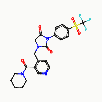 O=C(c1cnccc1CN1CC(=O)N(c2ccc(S(=O)(=O)C(F)(F)F)cc2)C1=O)N1CCCCC1